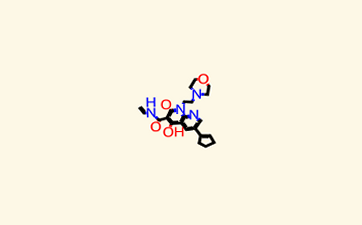 C=CNC(=O)c1c(O)c2cc(C3=CCCC3)cnc2n(CCN2CCOCC2)c1=O